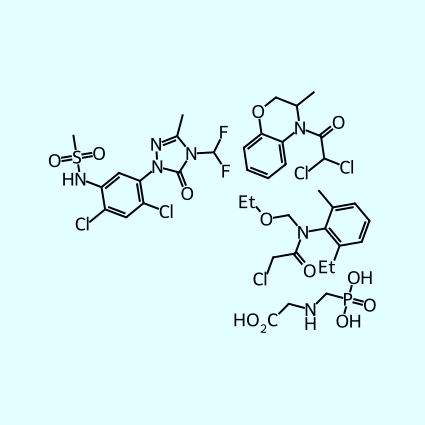 CC1COc2ccccc2N1C(=O)C(Cl)Cl.CCOCN(C(=O)CCl)c1c(C)cccc1CC.Cc1nn(-c2cc(NS(C)(=O)=O)c(Cl)cc2Cl)c(=O)n1C(F)F.O=C(O)CNCP(=O)(O)O